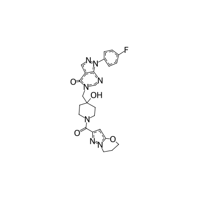 O=C(c1cc2n(n1)CCCO2)N1CCC(O)(Cn2cnc3c(cnn3-c3ccc(F)cc3)c2=O)CC1